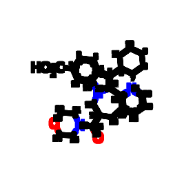 O=C(O)c1ccc2c(C3CCCCC3)c3n(c2c1)CC(C(=O)N1CCOCC1)Cc1cccnc1-3